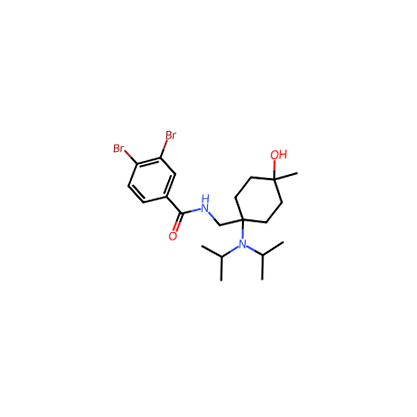 CC(C)N(C(C)C)C1(CNC(=O)c2ccc(Br)c(Br)c2)CCC(C)(O)CC1